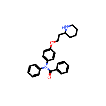 O=C(c1ccccc1)N(c1ccccc1)c1ccc(OCCC2CCCCN2)cc1